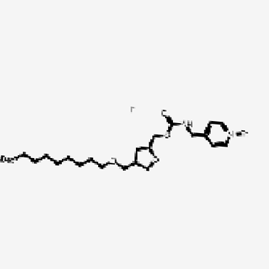 CCCCCCCCCCCCCCCCCCOCC1COC(COC(=O)NCc2cc[n+](CC)cc2)C1.[I-]